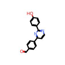 O=Cc1ccc(-c2ccnc(-c3ccc(O)cc3)n2)cc1